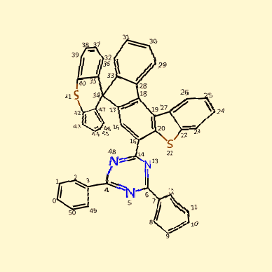 c1ccc(-c2nc(-c3ccccc3)nc(-c3cc4c(c5c3sc3ccccc35)-c3ccccc3C43c4ccccc4Sc4ccccc43)n2)cc1